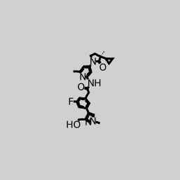 Cc1cc(N2CC[C@@](C)(C3CC3)C2=O)cc(NC(=O)Cc2cc(F)cc(-c3cn(C)nc3CO)c2)n1